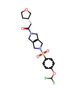 O=C(C[C@@H]1CCOC1)N1CC2=C(C1)CN(S(=O)(=O)c1ccc(OC(F)F)cc1)C2